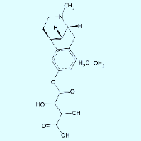 CN1CC[C@]23CCCC[C@H]2[C@H]1Cc1ccc(OC(=O)C(O)C(O)C(=O)O)cc13.O.O